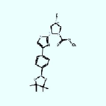 CC(C)(C)OC(=O)N1C[C@@H](F)C[C@H]1c1nc(-c2ccc(B3OC(C)(C)C(C)(C)O3)cc2)cs1